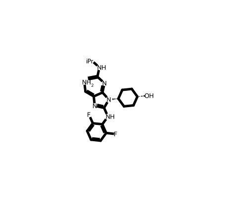 C=C(/N=C1\C(=C/N)N=C(Nc2c(F)cccc2F)N1[C@H]1CC[C@@H](O)CC1)NC(C)C